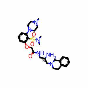 CN1CCN(c2cccc(OCC(=O)NC[C@@H](N)CN3CCc4ccccc4C3)c2S(=O)(=O)N(C)C)CC1